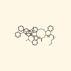 C=C1CC2N=C(/C=C\CCC)c3ccccc3C2CCc2ccc3c(oc4cc(-c5ccccc5)ccc43)c2-c2n(-c3c(C(C)C)cc(-c4ccccc4)cc3C(C)C)c3ccccc3[n+]21